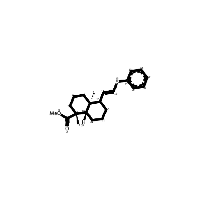 COC(=O)[C@]1(C)CCC[C@@]2(C)C(/C=C/Sc3ccccc3)CCC[C@H]12